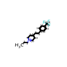 CCCN1CC=C(C=Cc2ccc(C(F)(F)F)cc2)CC1